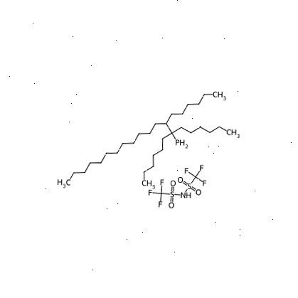 CCCCCCCCCCCCC(CCCCCC)C(P)(CCCCCC)CCCCCC.O=S(=O)(NS(=O)(=O)C(F)(F)F)C(F)(F)F